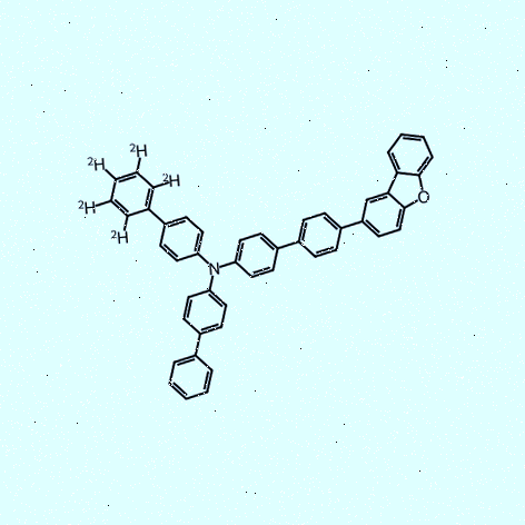 [2H]c1c([2H])c([2H])c(-c2ccc(N(c3ccc(-c4ccccc4)cc3)c3ccc(-c4ccc(-c5ccc6oc7ccccc7c6c5)cc4)cc3)cc2)c([2H])c1[2H]